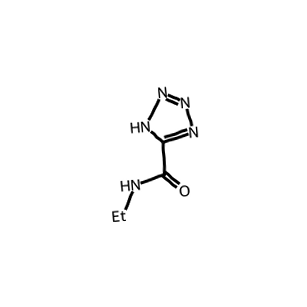 CCNC(=O)c1nnn[nH]1